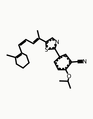 CC1=C(/C=C\C=C(/C)c2cnc(-c3ccc(OC(C)C)c(C#N)c3)s2)CCCC1